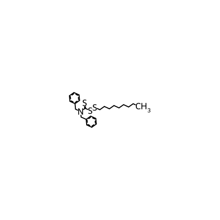 CCCCCCCCCSSC(=S)N(Cc1ccccc1)Cc1ccccc1